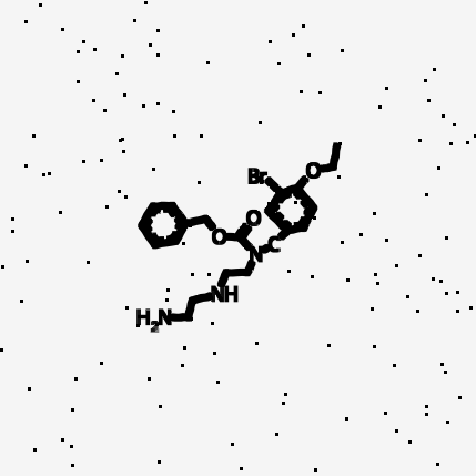 CCOc1ccc(CN(CCNCCN)C(=O)OCc2ccccc2)cc1Br